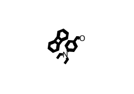 CCN(CC)c1ccc(C=O)cc1.c1ccc2c(c1)-c1ccccc1-2